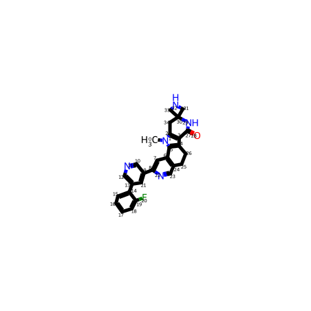 Cn1c2c(c3c1-c1cc(-c4cncc(-c5ccccc5F)c4)ncc1CC3)C(=O)NC1(CNC1)C2